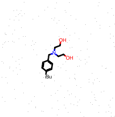 CCC(C)c1ccc(CN(CCO)CCO)cc1